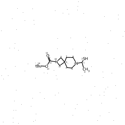 CC(S)N1CCC2(CC1)CN(C(=O)OC(C)(C)C)C2